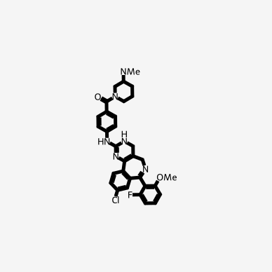 CNC1CCCN(C(=O)c2ccc(NC3=NC4=C(CN=C(c5c(F)cccc5OC)c5cc(Cl)ccc54)CN3)cc2)C1